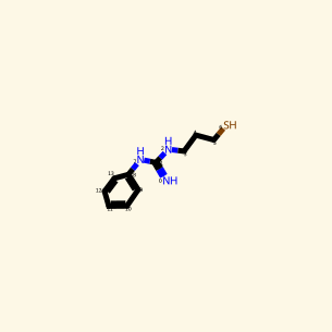 N=C(NCCCS)Nc1ccccc1